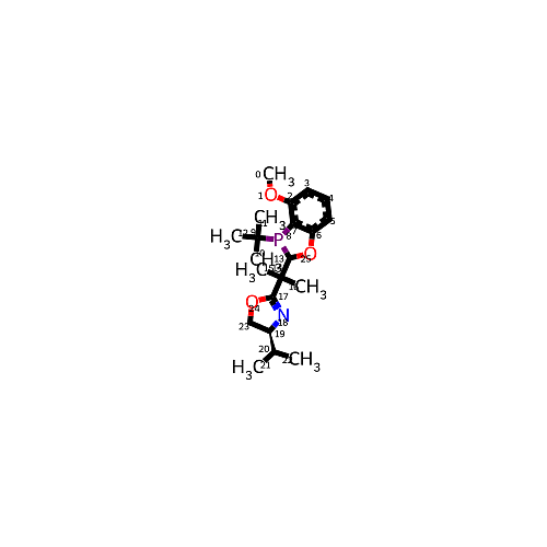 COc1cccc2c1P(C(C)(C)C)C(C(C)(C)C1=N[C@@H](C(C)C)CO1)O2